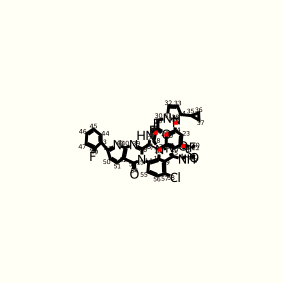 CS(=O)(=O)Nc1nn(CC(F)(F)F)c2c(-n3c([C@H](Cc4cc(F)cc(F)c4)NC(=O)Cn4ccc(C5CC5)n4)nc4nc(-c5ccccc5F)ccc4c3=O)ccc(Cl)c12